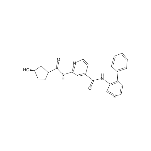 O=C(Nc1cnccc1-c1ccccc1)c1ccnc(NC(=O)C2CC[C@@H](O)C2)c1